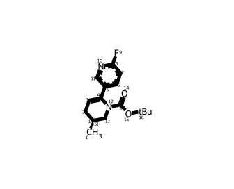 C[C@H]1CC=C(c2ccc(F)nc2)N(C(=O)OC(C)(C)C)C1